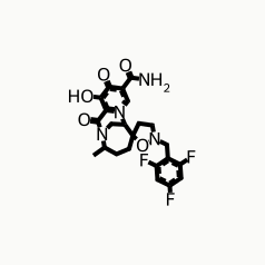 CC1CCC2(CCN(Cc3c(F)cc(F)cc3F)O2)C2CN1C(=O)c1c(O)c(=O)c(C(N)=O)cn12